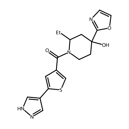 CCC1CC(O)(c2ncco2)CCN1C(=O)c1csc(-c2cn[nH]c2)c1